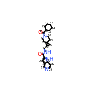 O=C(NC[C@@H]1CC12CCN(C(=O)C1CCCCC1)CC2)c1cc2cnccc2[nH]1